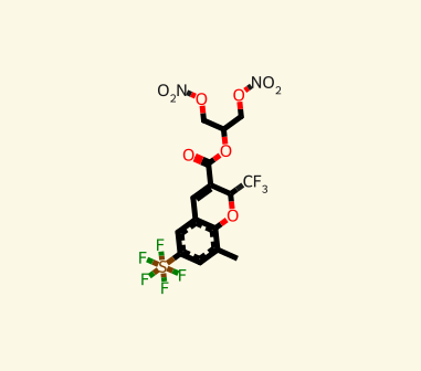 Cc1cc(S(F)(F)(F)(F)F)cc2c1OC(C(F)(F)F)C(C(=O)OC(CO[N+](=O)[O-])CO[N+](=O)[O-])=C2